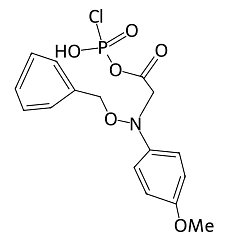 COc1ccc(N(CC(=O)OP(=O)(O)Cl)OCc2ccccc2)cc1